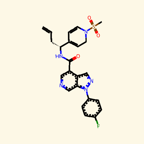 C=CC[C@@H](NC(=O)c1cncc2c1cnn2-c1ccc(F)cc1)C1=CCN(S(C)(=O)=O)C=C1